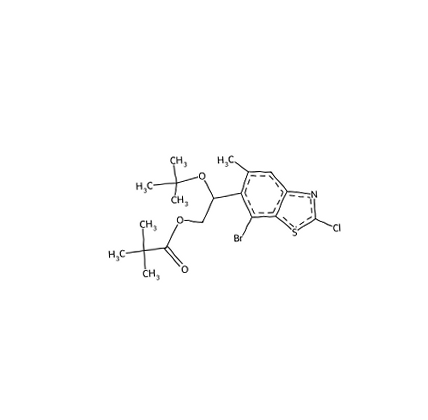 Cc1cc2nc(Cl)sc2c(Br)c1C(COC(=O)C(C)(C)C)OC(C)(C)C